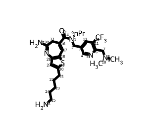 CCCN(Cc1cnc(CN(C)C)c(C(F)(F)F)c1)C(=O)C1=Cc2sc(CCCCCN)cc2N=C(N)C1